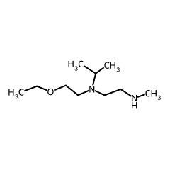 CCOCCN(CCNC)C(C)C